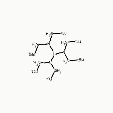 CC(C)(C)[SiH2][N]([SiH2]C(C)(C)C)[La]([N]([SiH2]C(C)(C)C)[SiH2]C(C)(C)C)[N]([SiH2]C(C)(C)C)[SiH2]C(C)(C)C